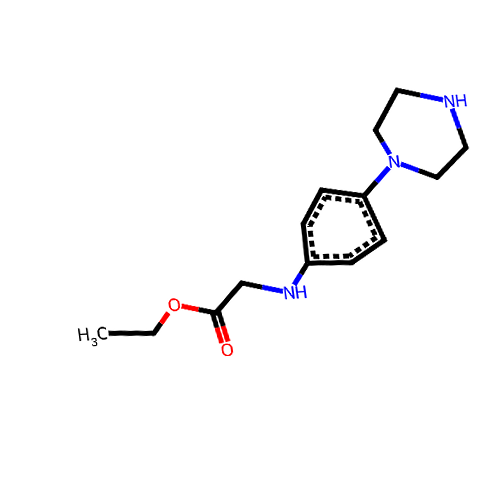 CCOC(=O)CNc1ccc(N2CCNCC2)cc1